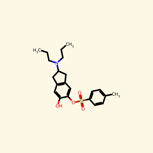 CCCN(CCC)C1Cc2cc(O)c(OS(=O)(=O)c3ccc(C)cc3)cc2C1